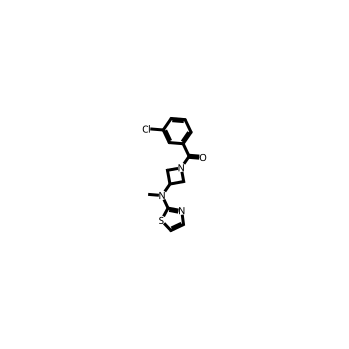 CN(c1nccs1)C1CN(C(=O)c2cccc(Cl)c2)C1